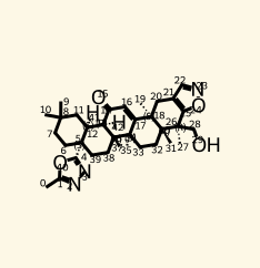 Cc1nnc([C@]23CCC(C)(C)C[C@H]2[C@H]2C(=O)C=C4[C@@]5(C)Cc6cnoc6[C@@](C)(CO)[C@]5(C)CC[C@@]4(C)[C@]2(C)CC3)o1